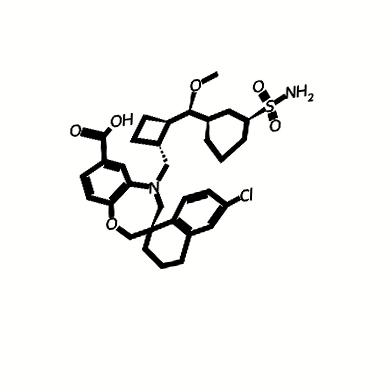 CO[C@@H]([C@@H]1CCC[C@H](S(N)(=O)=O)C1)[C@@H]1CC[C@H]1CN1C[C@@]2(CCCc3cc(Cl)ccc32)COc2ccc(C(=O)O)cc21